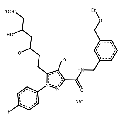 CCOCc1cccc(CNC(=O)c2nn(-c3ccc(F)cc3)c(CCC(O)CC(O)CC(=O)[O-])c2C(C)C)c1.[Na+]